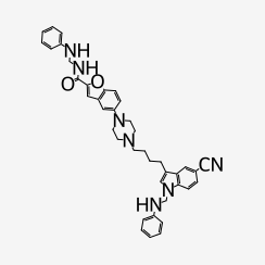 N#Cc1ccc2c(c1)c(CCCCN1CCN(c3ccc4oc(C(=O)NCNc5ccccc5)cc4c3)CC1)cn2CNc1ccccc1